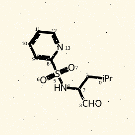 CC(C)CC(C=O)NS(=O)(=O)c1ccccn1